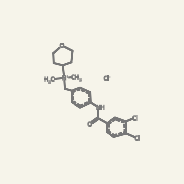 C[N+](C)(Cc1ccc(NC(=O)c2ccc(Cl)c(Cl)c2)cc1)C1CCOCC1.[Cl-]